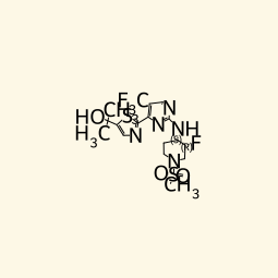 CC(C)(O)c1cnc(-c2nc(N[C@H]3CCN(S(C)(=O)=O)C[C@H]3F)ncc2C(F)(F)F)s1